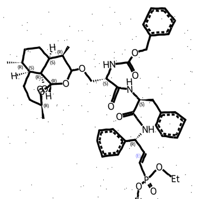 CCOP(=O)(/C=C/[C@@H](NC(=O)[C@H](Cc1ccccc1)NC(=O)[C@H](COC1O[C@@H]2O[C@@]3(C)CC[C@H]4[C@H](C)CC[C@@H]([C@H]1C)[C@@]24OO3)NC(=O)OCc1ccccc1)c1ccccc1)OCC